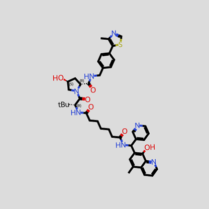 Cc1ncsc1-c1ccc(CNC(=O)[C@H]2C[C@H](O)CN2C(=O)[C@H](NC(=O)CCCCCC(=O)NC(c2cccnc2)c2cc(C)c3cccnc3c2O)C(C)(C)C)cc1